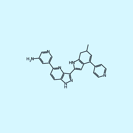 CC1C=C(c2ccncc2)c2cc(-c3n[nH]c4ccc(-c5cncc(N)c5)nc34)[nH]c2C1